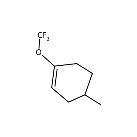 CC1CC=C(OC(F)(F)F)CC1